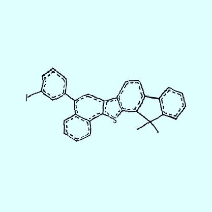 CC1(C)c2ccccc2-c2ccc3c(sc4c5ccccc5c(-c5cccc(I)c5)cc34)c21